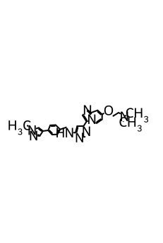 CN(C)CCOc1ccn2c(-c3cc(NCc4ccc(-c5cnn(C)c5)cc4)ncn3)cnc2c1